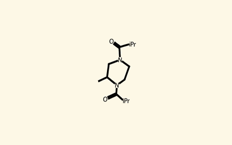 CC(C)C(=O)N1CCN(C(=O)C(C)C)C(C)C1